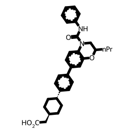 CCCC1CN(C(=O)Nc2ccccc2)c2ccc(-c3ccc([C@H]4CC[C@H](CC(=O)O)CC4)cc3)cc2O1